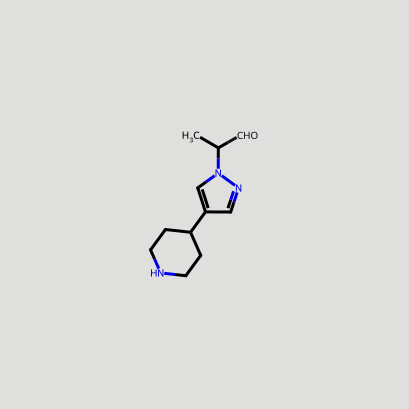 CC(C=O)n1cc(C2CCNCC2)cn1